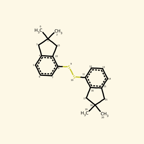 CC1(C)Cc2cccc(SSc3cccc4c3CC(C)(C)C4)c2C1